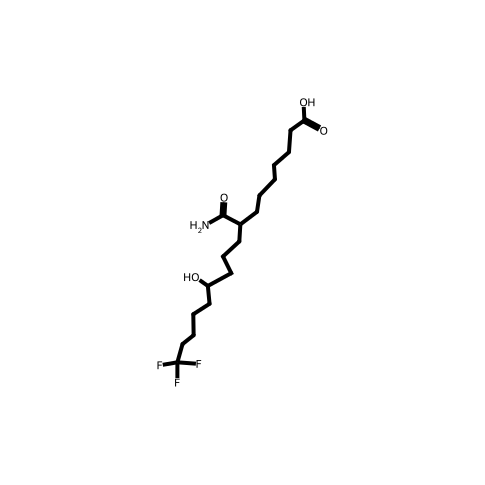 NC(=O)C(CCCCCCC(=O)O)CCCC(O)CCCCC(F)(F)F